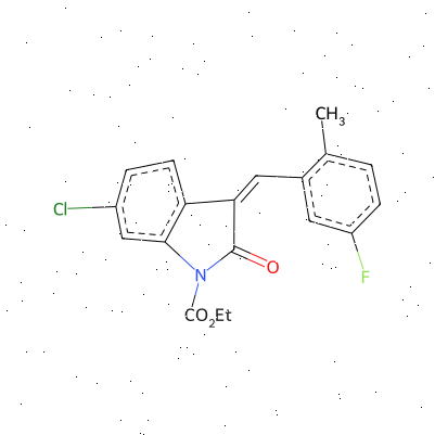 CCOC(=O)N1C(=O)C(=Cc2cc(F)ccc2C)c2ccc(Cl)cc21